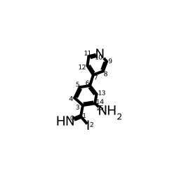 N=C(I)c1ccc(-c2ccncc2)cc1N